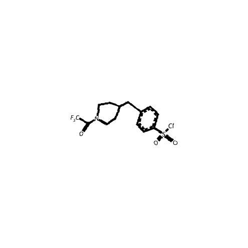 O=C(N1CCC(Cc2ccc(S(=O)(=O)Cl)cc2)CC1)C(F)(F)F